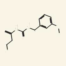 C=C(CCF)NC(=O)NCc1cccc(OC)c1